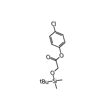 CC(C)(C)[Si](C)(C)OCC(=O)Oc1ccc(Cl)cc1